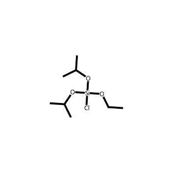 CCO[Si](Cl)(OC(C)C)OC(C)C